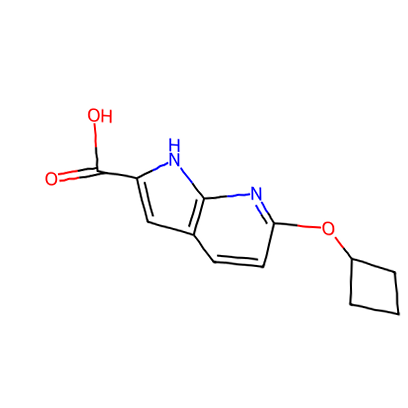 O=C(O)c1cc2ccc(OC3CCC3)nc2[nH]1